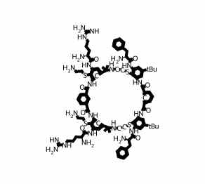 CC(C)(C)c1cc2c(c(NC(=O)[C@H](N)Cc3ccccc3)c1)SCCNC(C)(C)c1cc(c(SCCN)c(NC(=O)[C@H](N)CCCNC(=N)N)c1)NC(=O)c1cccc(c1)C(=O)Nc1cc(cc(NC(=O)[C@H](N)CCCNC(=N)N)c1SCCN)C(C)(C)NCCSc1c(cc(C(C)(C)C)cc1NC(=O)[C@H](N)Cc1ccccc1)NC(=O)c1cccc(c1)C(=O)N2